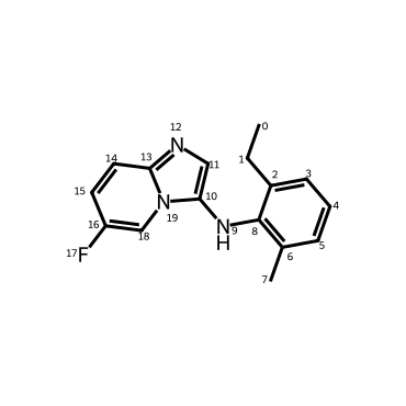 CCc1cccc(C)c1Nc1cnc2ccc(F)cn12